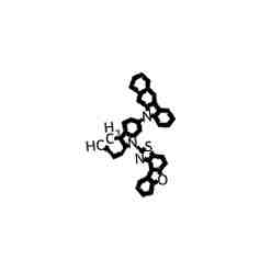 C#C/C=C\c1c(C)c2ccc(-n3c4ccccc4c4cc5ccccc5cc43)cc2n1-c1nc2c(ccc3oc4ccccc4c32)s1